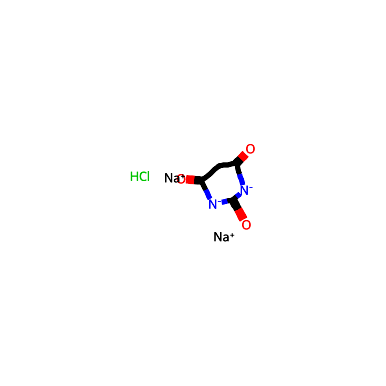 Cl.O=C1CC(=O)[N-]C(=O)[N-]1.[Na+].[Na+]